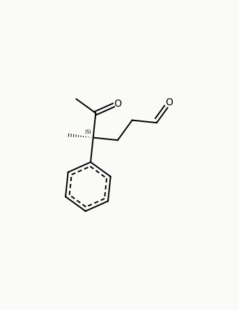 CC(=O)[C@@](C)(CCC=O)c1ccccc1